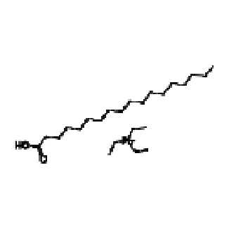 CCCCCCCCCCCCCCCCCC(=O)O.C[CH2][Pb]([CH2]C)[CH2]C